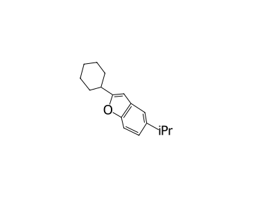 CC(C)c1ccc2oc(C3CCCCC3)cc2c1